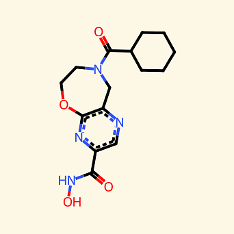 O=C(NO)c1cnc2c(n1)OCCN(C(=O)C1CCCCC1)C2